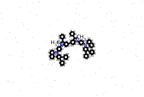 Cc1c(-c2ccccc2)c2cc(-c3ccc4c(c3)c(-c3ccccc3)c(C)n4-c3ccc(N(c4ccc(-c5ccccc5)c(-c5ccccc5)c4)c4cccc5ccccc45)cc3)ccc2n1-c1ccc(N(c2ccc(-c3ccccc3)c(-c3ccccc3)c2)c2cccc3ccccc23)cc1